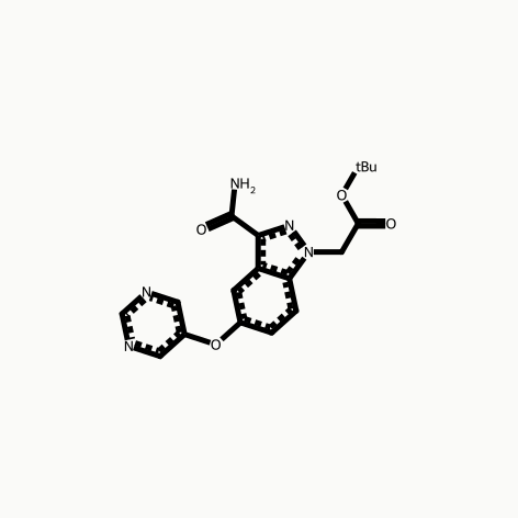 CC(C)(C)OC(=O)Cn1nc(C(N)=O)c2cc(Oc3cncnc3)ccc21